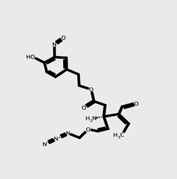 C/C=C(/C=O)[C@@](N)(/C=C\OCN=[N+]=[N-])CC(=O)OCCc1ccc(O)c(N=O)c1